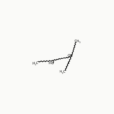 CCCCCCCCCCCCCCC(CCCCCCCCCCCC)C(O)CCCCCCCCCCCCC(CO)CCCCCCCCCCCC